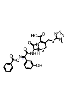 Cn1nnnc1SCC1=C(C(=O)O)N2C(=O)C(NC(=O)/C(=N/OC(=O)c3ccccc3)c3cccc(O)c3)[C@H]2SC1